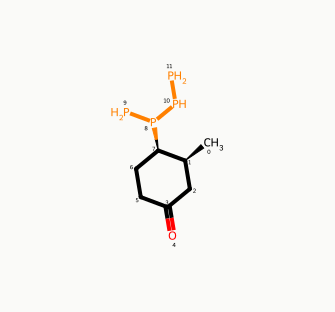 C[C@H]1CC(=O)CC[C@H]1P(P)PP